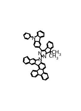 CC1(C)c2ccccc2-c2c(-c3ccc4c(c3)c3ccccc3n4-c3ccccc3)nc(-n3c4cc5ccccc5cc4c4c5c6ccccc6c6ccccc6c5ccc43)nc21